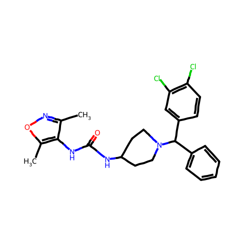 Cc1noc(C)c1NC(=O)NC1CCN(C(c2ccccc2)c2ccc(Cl)c(Cl)c2)CC1